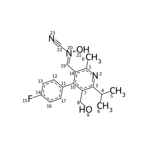 Cc1nc(C(C)C)c(CO)c(-c2ccc(F)cc2)c1C=[N+](O)C#N